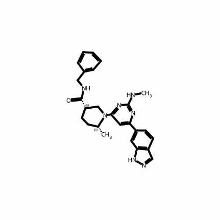 CNc1nc(-c2ccc3cn[nH]c3c2)cc(N2C[C@@H](C(=O)NCc3ccccc3)CC[C@H]2C)n1